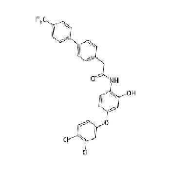 O=C(Cc1ccc(-c2ccc(C(F)(F)F)cc2)cc1)Nc1ccc(Oc2ccc(Cl)c(Cl)c2)cc1O